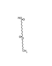 CCCCCCCCOC(=O)CCCCCCCCCCC(=O)O